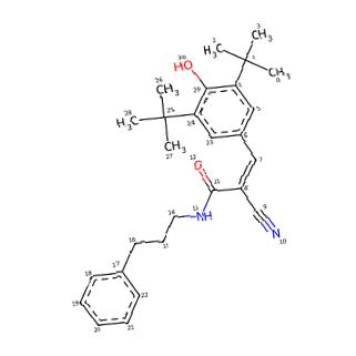 CC(C)(C)c1cc(/C=C(/C#N)C(=O)NCCCc2ccccc2)cc(C(C)(C)C)c1O